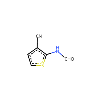 N#Cc1ccsc1NC=O